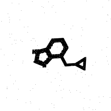 [c]1nc2c(CC3CC3)cccc2[nH]1